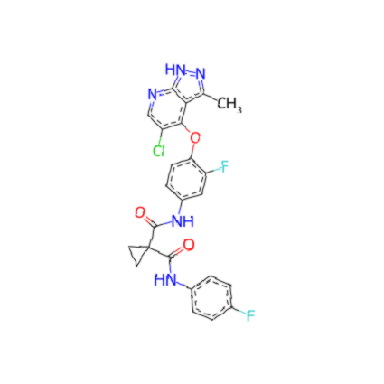 Cc1n[nH]c2ncc(Cl)c(Oc3ccc(NC(=O)C4(C(=O)Nc5ccc(F)cc5)CC4)cc3F)c12